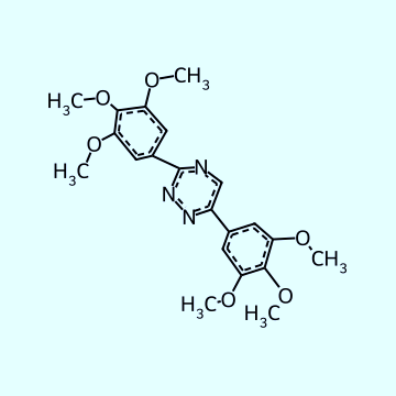 COc1cc(-c2cnc(-c3cc(OC)c(OC)c(OC)c3)nn2)cc(OC)c1OC